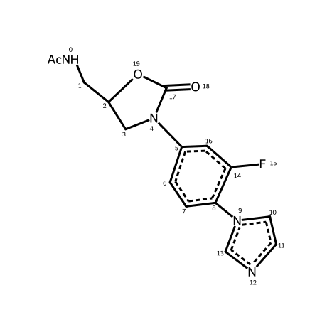 CC(=O)NCC1CN(c2ccc(-n3ccnc3)c(F)c2)C(=O)O1